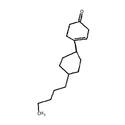 CCCCCC1CCC(C2=CCC(=O)CC2)CC1